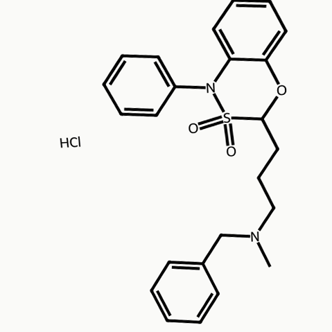 CN(CCCC1Oc2ccccc2N(c2ccccc2)S1(=O)=O)Cc1ccccc1.Cl